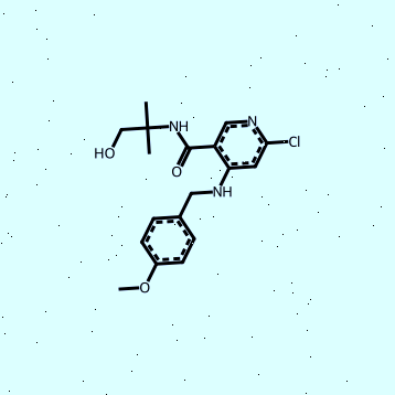 COc1ccc(CNc2cc(Cl)ncc2C(=O)NC(C)(C)CO)cc1